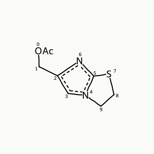 CC(=O)OCc1cn2c(n1)SCC2